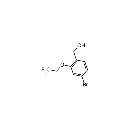 OCc1ccc(Br)cc1OCC(F)(F)F